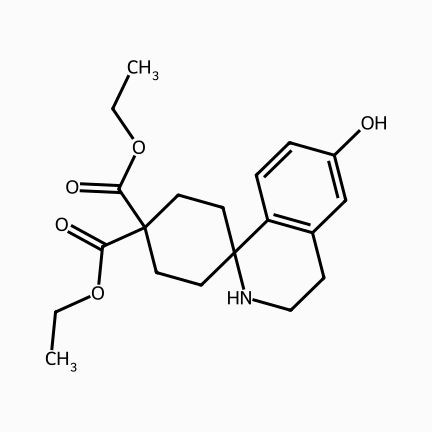 CCOC(=O)C1(C(=O)OCC)CCC2(CC1)NCCc1cc(O)ccc12